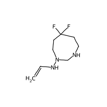 C=CNN1CCC(F)(F)CCNC1